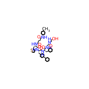 Cc1ccc(NC(=O)CCC(=O)N[C@H](Cc2cccs2)C(=O)N[C@@H](Cc2ccc(-c3ccccc3)cc2)C(=O)N[C@H](Cc2ccccc2)C(=O)NCC(=O)NCCO)cc1